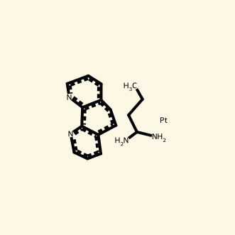 CCCC(N)N.[Pt].c1cnc2c(c1)ccc1cccnc12